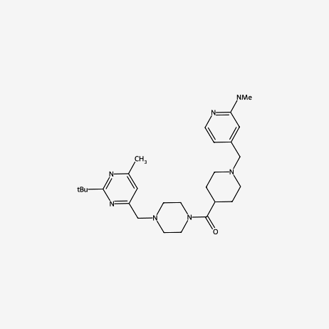 CNc1cc(CN2CCC(C(=O)N3CCN(Cc4cc(C)nc(C(C)(C)C)n4)CC3)CC2)ccn1